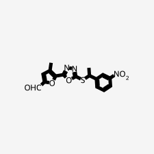 Cc1cc(C=O)oc1-c1nnc(SC(C)c2cccc([N+](=O)[O-])c2)o1